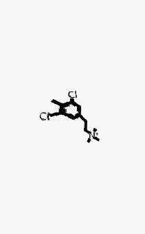 Cc1c(Cl)cc(CC[N+](C)(C)C)cc1Cl